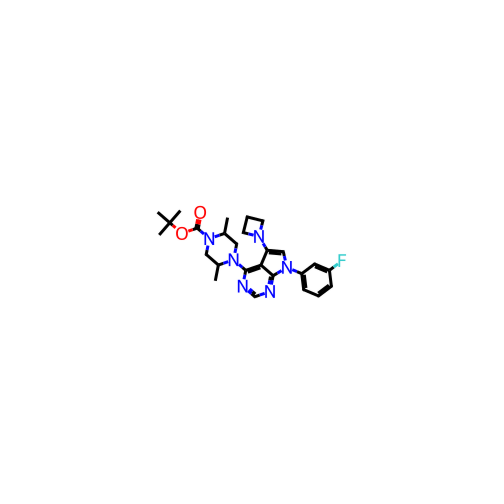 CC1CN(c2ncnc3c2c(N2CCC2)cn3-c2cccc(F)c2)C(C)CN1C(=O)OC(C)(C)C